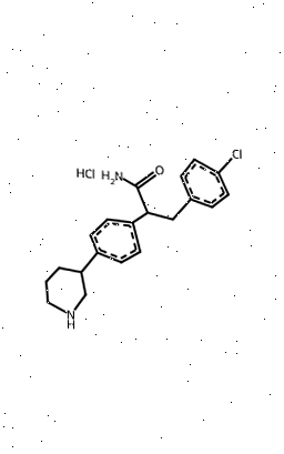 Cl.NC(=O)C(Cc1ccc(Cl)cc1)c1ccc(C2CCCNC2)cc1